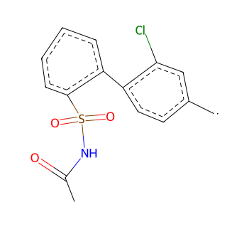 [CH2]c1ccc(-c2ccccc2S(=O)(=O)NC(C)=O)c(Cl)c1